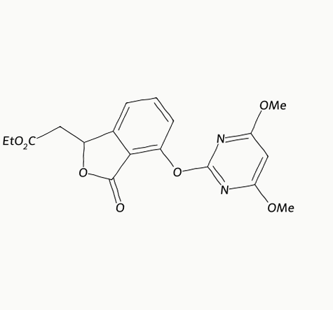 CCOC(=O)CC1OC(=O)c2c(Oc3nc(OC)cc(OC)n3)cccc21